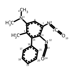 Cc1c(N(C)C)cc(N=C=O)c(N=C=O)c1-c1ccccc1